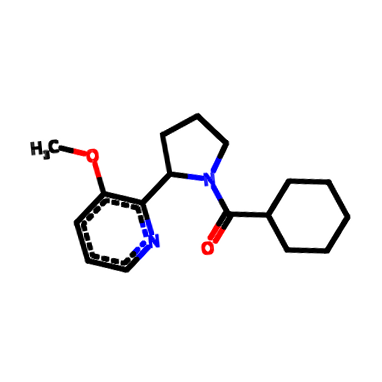 COc1cccnc1C1CCCN1C(=O)C1CCCCC1